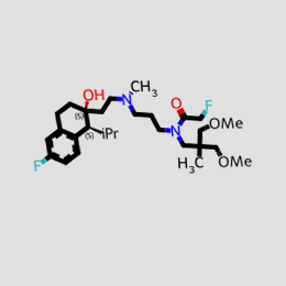 COCC(C)(COC)CN(CCCN(C)CC[C@@]1(O)CCc2cc(F)ccc2[C@@H]1C(C)C)C(=O)CF